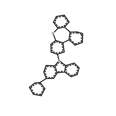 c1ccc(-c2ccc3c(c2)c2ccccc2n3-c2ccc3c(c2)-c2ccccc2-c2ccccc2O3)cc1